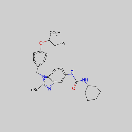 CCCCc1nc2cc(NC(=O)NC3CCCCC3)ccc2n1Cc1ccc(OC(CC(C)C)C(=O)O)cc1